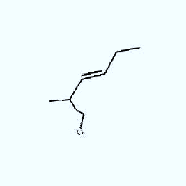 CC/C=C/C(C)C[O]